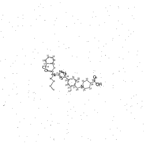 CCCCN(C(=O)Cc1ccccc1Cl)c1nnc(-c2cc(C)c(CN3CCC(C(=O)O)CC3)c(C)c2)s1